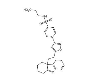 O=C(O)CCNS(=O)(=O)c1ccc(-c2noc(CCC3(c4ccccc4)CCCCC3=O)n2)cc1